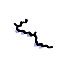 CCC/C=C/C=C\CC(C)/C=C/C=C/C=C\C(C)CCCC